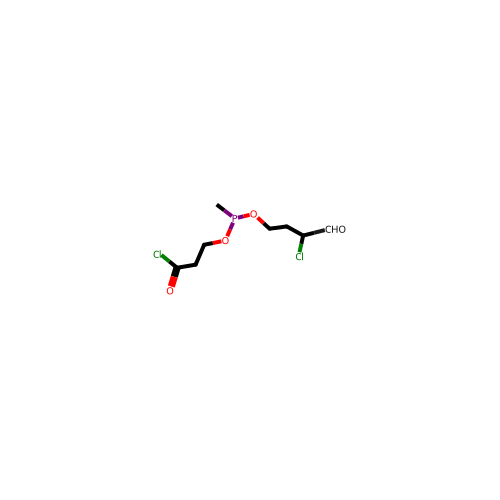 CP(OCCC(=O)Cl)OCCC(Cl)C=O